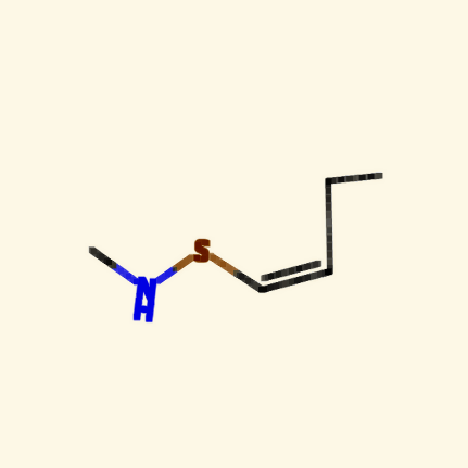 CC/C=C\SNC